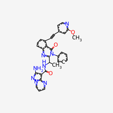 COc1cc(C#Cc2cccc3nc(C(C)NC(=O)c4c(N)nn5cccnc45)n(-c4ccccc4)c(=O)c23)ccn1